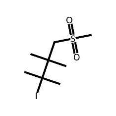 CC(C)(I)C(C)(C)CS(C)(=O)=O